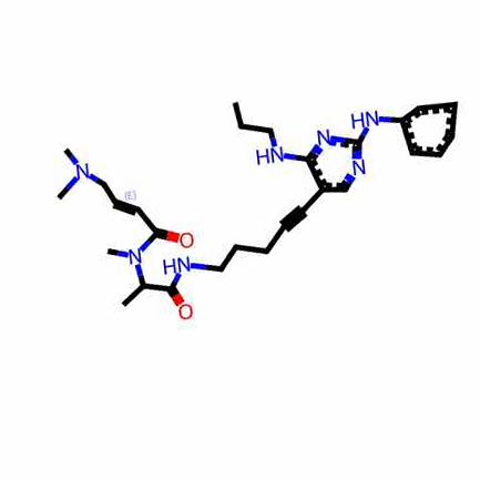 CCCNc1nc(Nc2ccccc2)ncc1C#CCCCNC(=O)C(C)N(C)C(=O)/C=C/CN(C)C